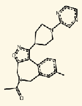 CC(=O)N1Cc2cc(C)ccc2-c2c(C3CCN(c4cnccn4)CC3)noc2C1